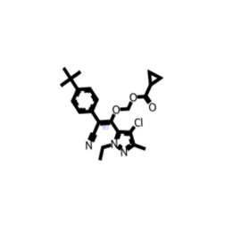 CCn1nc(C)c(Cl)c1/C(OCOC(=O)C1CC1)=C(\C#N)c1ccc(C(C)(C)C)cc1